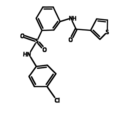 O=C(Nc1cccc(S(=O)(=O)Nc2ccc(Cl)cc2)c1)c1ccsc1